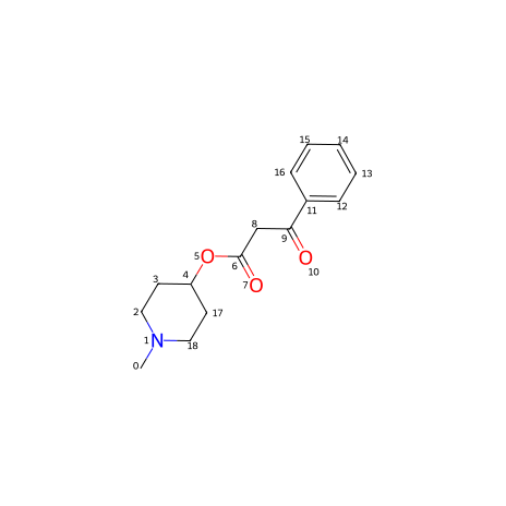 CN1CCC(OC(=O)CC(=O)c2ccccc2)CC1